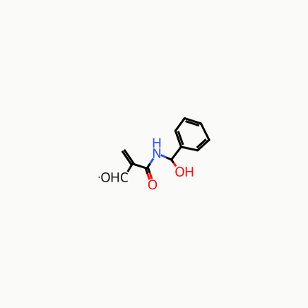 C=C([C]=O)C(=O)NC(O)c1ccccc1